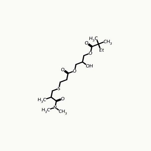 CCC(C)(C)C(=O)OCC(O)COC(=O)CCSCC(C)C(=O)N(C)C